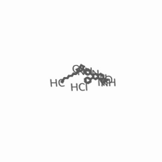 C#CCCCCC=CC(=O)NC1(c2ccc(-c3nc4ccn5c(=O)[nH]nc5c4cc3-c3ccccc3)cc2)CCC1.Cl